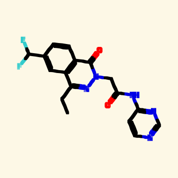 CCc1nn(CC(=O)Nc2ccncn2)c(=O)c2ccc(C(F)F)cc12